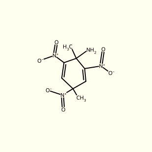 CC1(N)C([N+](=O)[O-])=CC(C)([N+](=O)[O-])C=C1[N+](=O)[O-]